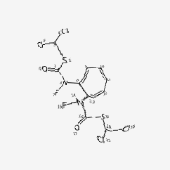 O=C(SC(Cl)Cl)N(F)c1ccccc1N(F)C(=O)SC(Cl)Cl